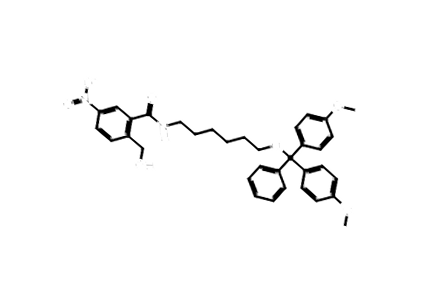 COc1ccc(C(OCCCCCCNC(=O)c2cc([N+](=O)[O-])ccc2CO)(c2ccccc2)c2ccc(OC)cc2)cc1